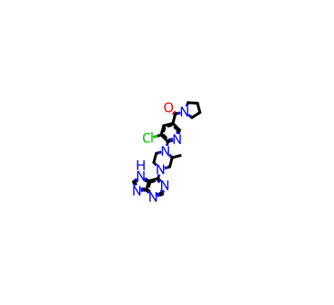 CC1CN(c2ncnc3nc[nH]c23)CCN1c1ncc(C(=O)N2CCCC2)cc1Cl